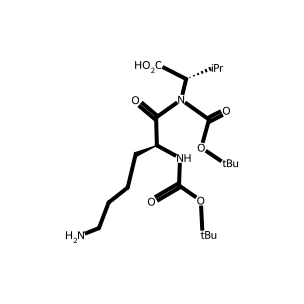 CC(C)[C@@H](C(=O)O)N(C(=O)OC(C)(C)C)C(=O)[C@H](CCCCN)NC(=O)OC(C)(C)C